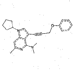 Cc1cc2c(c(C#CCOc3ccccc3)cn2C2CCCC2)c(N(C)C)n1